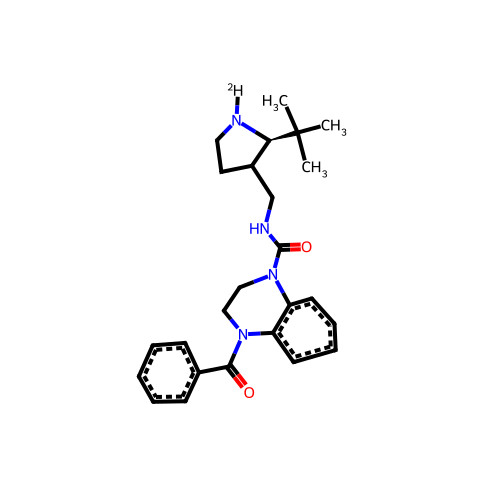 [2H]N1CCC(CNC(=O)N2CCN(C(=O)c3ccccc3)c3ccccc32)[C@@H]1C(C)(C)C